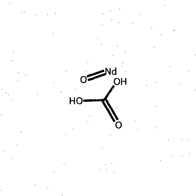 O=C(O)O.[O]=[Nd]